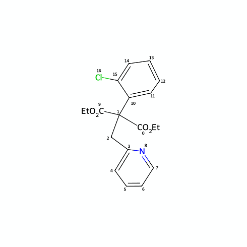 CCOC(=O)C(Cc1ccccn1)(C(=O)OCC)c1ccccc1Cl